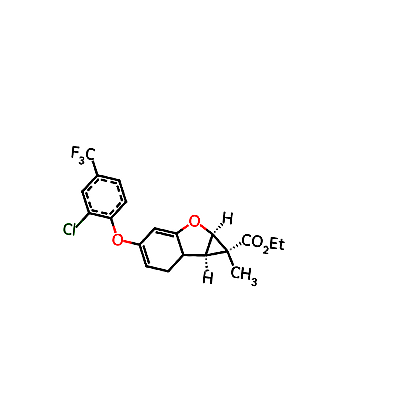 CCOC(=O)[C@@]1(C)[C@@H]2OC3=CC(Oc4ccc(C(F)(F)F)cc4Cl)=CCC3[C@@H]21